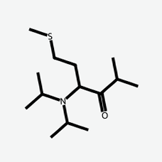 CSCCC(C(=O)C(C)C)N(C(C)C)C(C)C